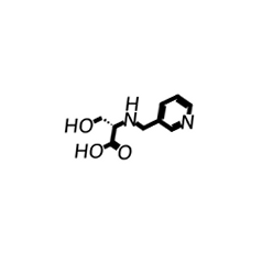 O=C(O)[C@H](CO)NCc1cccnc1